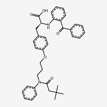 CC(C)(C)CC(=O)N(CCCOc1ccc(C[C@H](Nc2ccccc2C(=O)c2ccccc2)C(=O)O)cc1)c1ccccc1